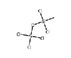 C[Si](Cl)(Cl)O[Si](Cl)(Cl)Cl